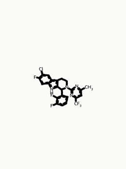 Cc1cc(C(F)(F)F)nc(N2CCc3c([nH]c4cc(F)c(Cl)cc34)C2c2cccc(F)c2F)n1